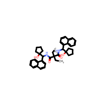 CCC(CC)(C(=O)NC(c1cccc2ccccc12)C1(O)CCCC1)C(=O)NC(c1cccc2ccccc12)C1(O)CCCC1